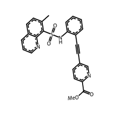 COC(=O)c1ccc(C#Cc2ccccc2NS(=O)(=O)c2c(C)ccc3cccnc23)cn1